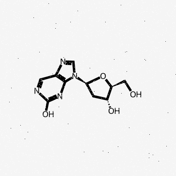 OC[C@@H]1O[C@H](n2cnc3cnc(O)nc32)C[C@H]1O